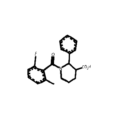 Cc1cccc(F)c1C(=O)N1CCCC(C(=O)O)C1c1ccccc1